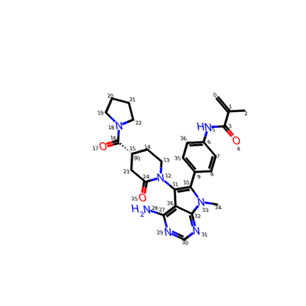 C=C(C)C(=O)Nc1ccc(-c2c(N3CC[C@@H](C(=O)N4CCCC4)CC3=O)c3c(N)ncnc3n2C)cc1